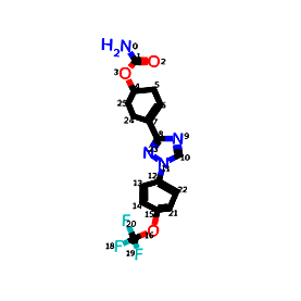 NC(=O)OC1CC=C(c2ncn(-c3ccc(OC(F)(F)F)cc3)n2)CC1